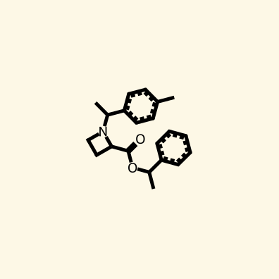 Cc1ccc(C(C)N2CCC2C(=O)OC(C)c2ccccc2)cc1